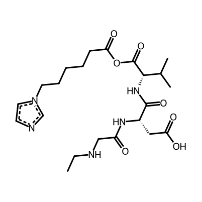 CCNCC(=O)N[C@@H](CC(=O)O)C(=O)N[C@H](C(=O)OC(=O)CCCCCn1ccnc1)C(C)C